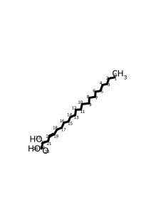 CCCCCCCCCCCCCCCCCCC/C=C/CC(O)C(=O)O